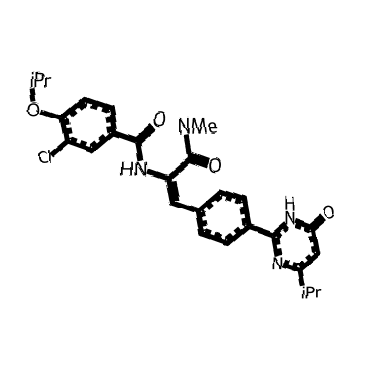 CNC(=O)/C(=C\c1ccc(-c2nc(C(C)C)cc(=O)[nH]2)cc1)NC(=O)c1ccc(OC(C)C)c(Cl)c1